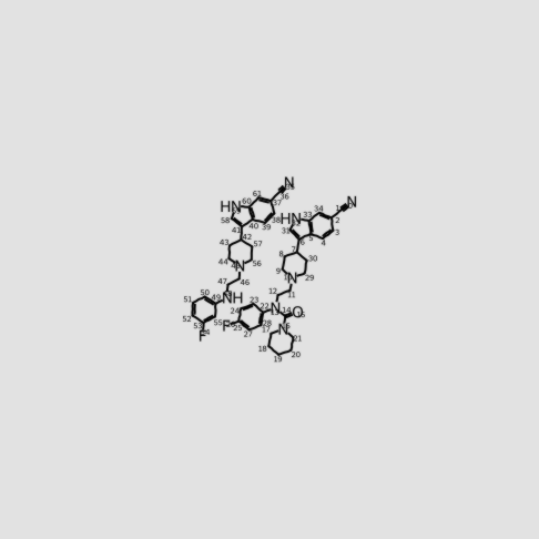 N#Cc1ccc2c(C3CCN(CCN(C(=O)N4CCCCC4)c4ccc(F)cc4)CC3)c[nH]c2c1.N#Cc1ccc2c(C3CCN(CCNc4cccc(F)c4)CC3)c[nH]c2c1